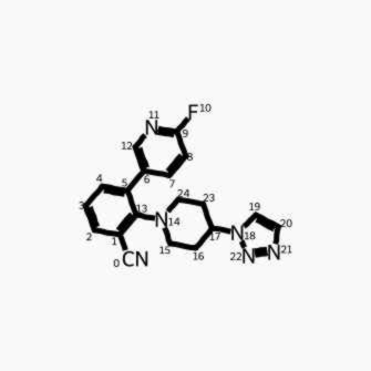 N#Cc1cccc(-c2ccc(F)nc2)c1N1CCC(n2ccnn2)CC1